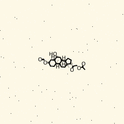 CC(=O)OCC(=O)[C@H]1CC[C@H]2[C@@H]3C[C@@H](O)[C@H]4C[C@@H](OC=O)CC[C@]4(C)[C@H]3CC[C@]12C